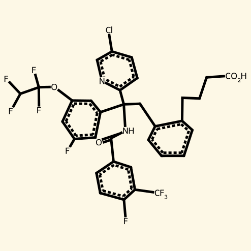 O=C(O)CCCc1ccccc1CC(NC(=O)c1ccc(F)c(C(F)(F)F)c1)(c1cc(F)cc(OC(F)(F)C(F)F)c1)c1ccc(Cl)cn1